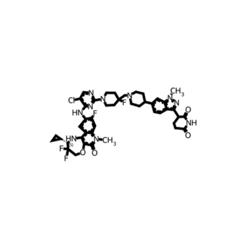 Cn1nc(C2CCC(=O)NC2=O)c2ccc(C3CCN(CC4(F)CCN(c5ncc(Cl)c(Nc6cc7c8c(c(=O)n(C)c7cc6F)OCC(F)(F)[C@H](C6CC6)N8)n5)CC4)CC3)cc21